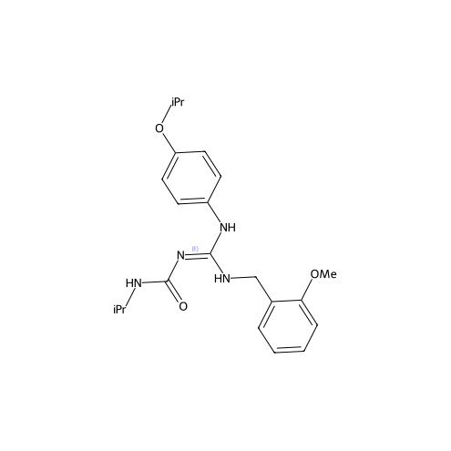 COc1ccccc1CN/C(=N\C(=O)NC(C)C)Nc1ccc(OC(C)C)cc1